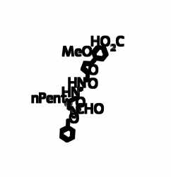 CCCCC[C@H](CN(C=O)OCc1ccccc1)C(=O)NCNC(=O)c1ccc(-c2cccc(C(=O)O)c2OC)o1